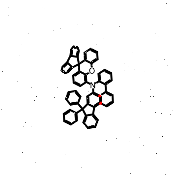 c1ccc(-c2ccccc2N(c2ccc3c(c2)C(c2ccccc2)(c2ccccc2)c2ccccc2-3)c2cccc3c2Oc2ccccc2C32c3ccccc3-c3ccccc32)cc1